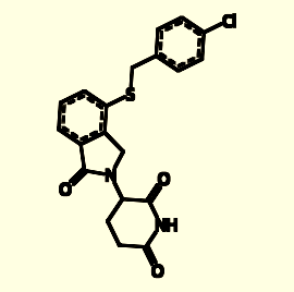 O=C1CCC(N2Cc3c(SCc4ccc(Cl)cc4)cccc3C2=O)C(=O)N1